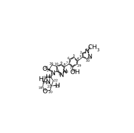 Cn1cc(-c2ccc(-c3cc4c(nn3)N(C3C[C@H]5COC[C@@H](C3)N5)C(=O)C4)c(O)c2)cn1